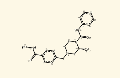 C[C@H]1CN(Cc2ccc(C(=O)NO)cc2)CCN1C(=O)Nc1ccccc1